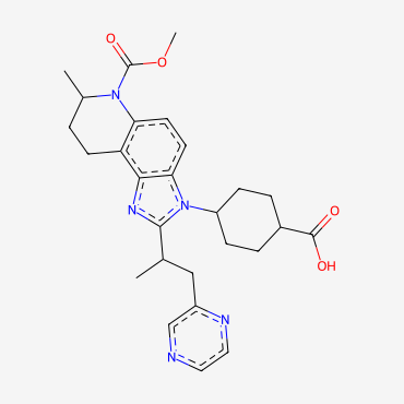 COC(=O)N1c2ccc3c(nc(C(C)Cc4cnccn4)n3C3CCC(C(=O)O)CC3)c2CCC1C